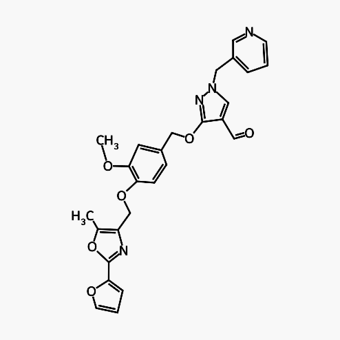 COc1cc(COc2nn(Cc3cccnc3)cc2C=O)ccc1OCc1nc(-c2ccco2)oc1C